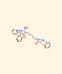 N=C1NC(c2ccccc2)(c2ccccc2)C(=O)N1CCCCNC(=O)C(N)Cc1cccnc1